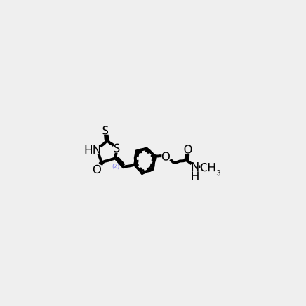 CNC(=O)COc1ccc(/C=C2\SC(=S)NC2=O)cc1